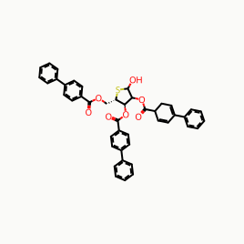 O=C(OC[C@@H]1SC(O)C(OC(=O)C2C=CC(c3ccccc3)=CC2)[C@H]1OC(=O)c1ccc(-c2ccccc2)cc1)c1ccc(-c2ccccc2)cc1